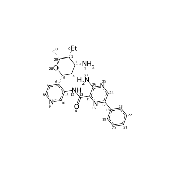 CC[C@@H]1[C@H](N)C[C@H](c2ccncc2NC(=O)c2nc(-c3ccccc3)cnc2N)O[C@@H]1C